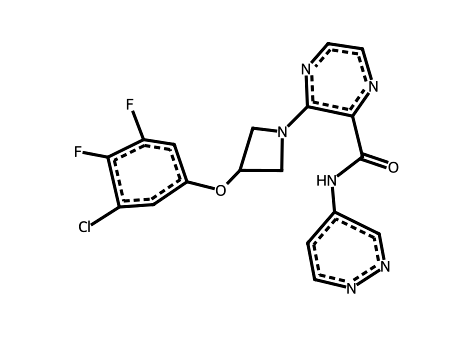 O=C(Nc1ccnnc1)c1nccnc1N1CC(Oc2cc(F)c(F)c(Cl)c2)C1